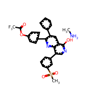 CN.CS(=O)(=O)c1cccc(-c2cnc(O)c3cc(-c4ccccc4)c(-c4ccc(OC(=O)C(F)(F)F)cc4)nc23)c1